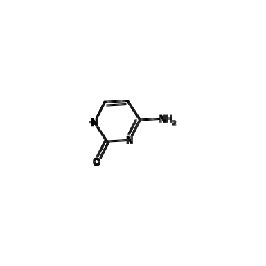 NC1=NC(=O)[N]C=C1